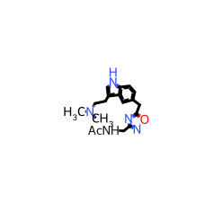 CC(=O)NCc1noc(Cc2ccc3[nH]cc(CCN(C)C)c3c2)n1